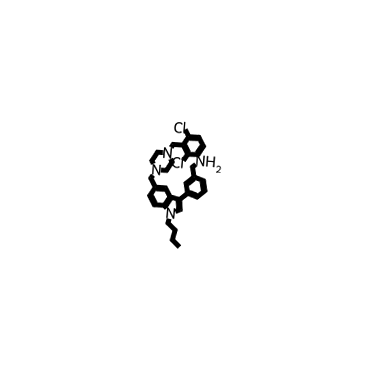 CCCCn1cc(-c2cccc(CN)c2)c2cc(CN3CCN(Cc4c(Cl)cccc4Cl)CC3)ccc21